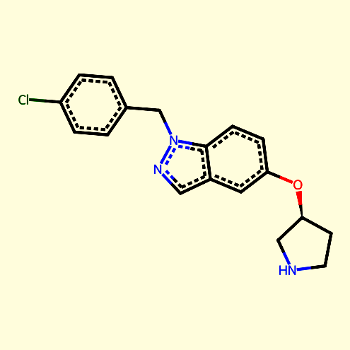 Clc1ccc(Cn2ncc3cc(O[C@H]4CCNC4)ccc32)cc1